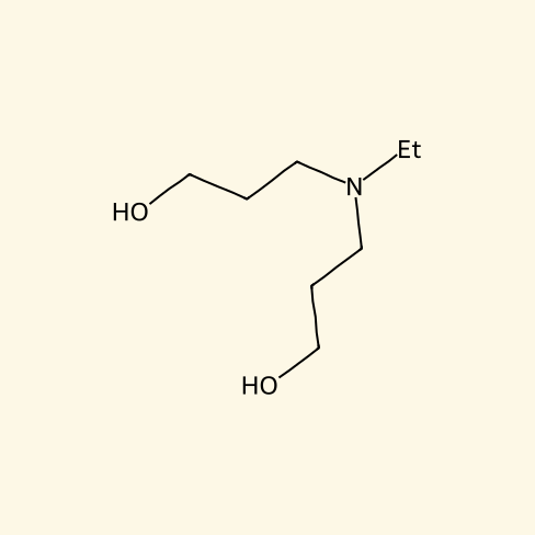 CCN(CCCO)CCCO